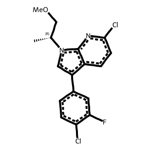 COC[C@@H](C)n1cc(-c2ccc(Cl)c(F)c2)c2ccc(Cl)nc21